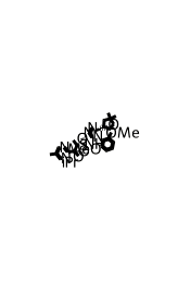 COc1cccc(OC)c1-n1c(NS(=O)(=O)C(C)C(OC(C)C)c2ncc(C)cn2)nnc1[C@@H]1COC(C)(C)C1